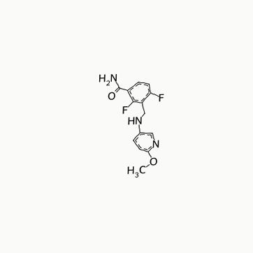 COc1ccc(NCc2c(F)ccc(C(N)=O)c2F)cn1